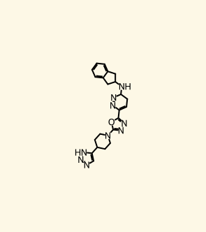 C1=C(c2nnc(N3CCC(c4cnn[nH]4)CC3)o2)N=NC(NC2Cc3ccccc3C2)C1